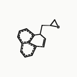 C1=CC(CC2CO2)c2cccc3cccc1c23